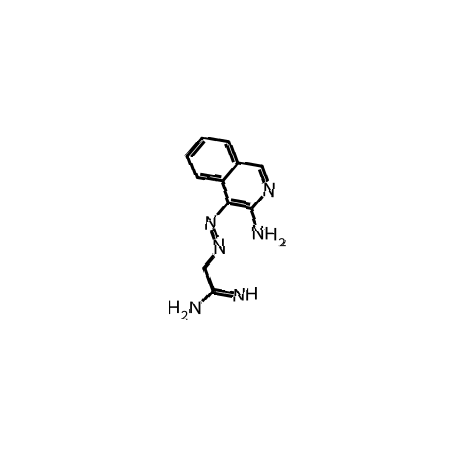 N=C(N)C/N=N/c1c(N)ncc2ccccc12